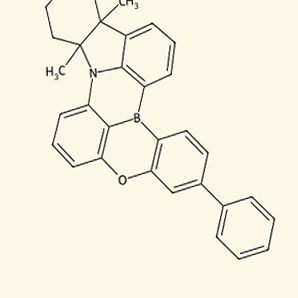 CC12CCCCC1(C)N1c3cccc4c3B(c3ccc(-c5ccccc5)cc3O4)c3cccc2c31